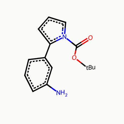 CC(C)(C)OC(=O)n1cccc1-c1cccc(N)c1